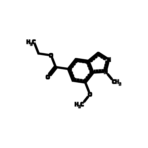 CCOC(=O)c1cc(OC)c2c(cnn2C)c1